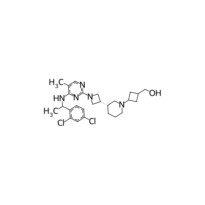 Cc1cnc(N2CC([C@H]3CCCN(C4CC(CO)C4)C3)C2)nc1NC(C)c1ccc(Cl)cc1Cl